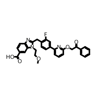 COCCn1c(Cc2ccc(-c3cccc(OCC(=O)c4ccccc4)n3)cc2F)nc2ccc(C(=O)O)cc21